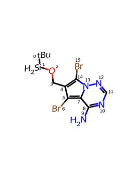 CC(C)(C)[SiH2]OCc1c(Br)c2c(N)ncnn2c1Br